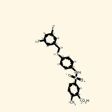 Cc1ccc(S(=O)(=O)Nc2ccc(SCc3cc(F)cc(F)c3)cc2)cc1C(=O)O